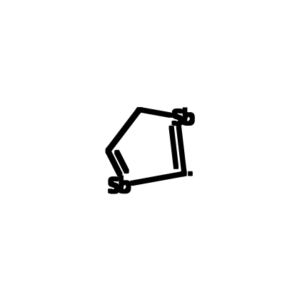 [C]1=[Sb][CH2][CH]=[Sb]1